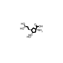 Cl.N[C@@]1(C(=O)O)C[C@H](CCB(O)O)[C@@H](O)C1